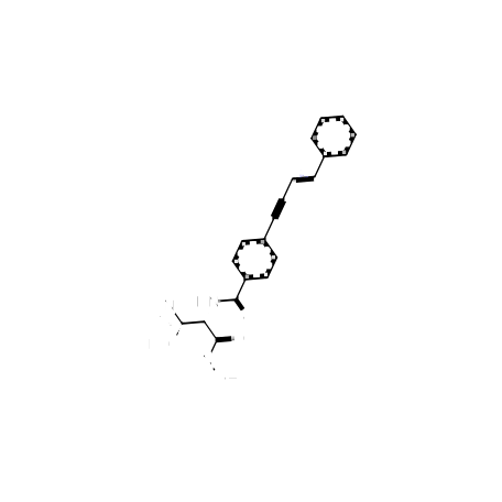 C[C@@H](N)[C@H](NC(=O)c1ccc(C#C/C=C/c2ccccc2)cc1)C(=O)NO